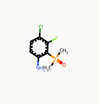 CP(C)(=O)c1c(N)ccc(Cl)c1F